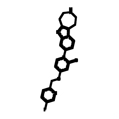 O=c1cc(OCc2ccc(F)cn2)ccn1-c1ccc2c3c(sc2c1)CCNCC3